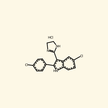 Cl.Clc1ccc(-c2[nH]c3ccc(Cl)cc3c2C2=NCCN2)cc1